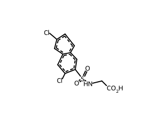 O=C(O)CNS(=O)(=O)c1cc2ccc(Cl)cc2cc1Cl